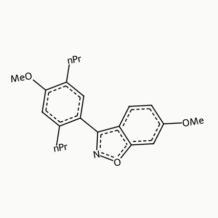 CCCc1cc(-c2noc3cc(OC)ccc23)c(CCC)cc1OC